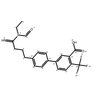 CCN(C=O)C(=N)CCCc1ccc(-c2ccc(C(F)(F)F)c(C(=O)O)c2)cc1